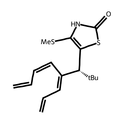 C=C/C=C\C(=C/C=C)[C@H](c1sc(=O)[nH]c1SC)C(C)(C)C